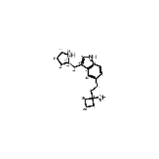 OC1(CCc2ccc3[nH]cc(C[C@H]4CCCN4)c3c2)CCC1